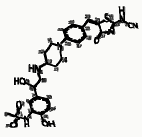 CS(=O)(=O)Nc1cc(C(O)CNC2CCN(c3ccc(C=C4SC(NC#N)=NC4=O)cc3)CC2)ccc1O